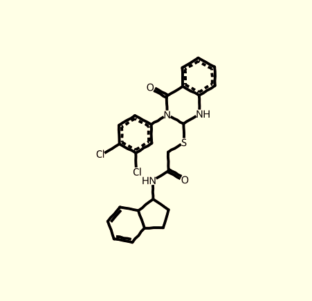 O=C(CSC1Nc2ccccc2C(=O)N1c1ccc(Cl)c(Cl)c1)NC1CCC2C=CC=CC21